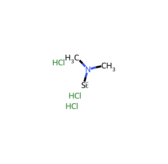 CN(C)[Si].Cl.Cl.Cl